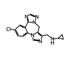 Clc1ccc2c(c1)-c1ncnn1Cc1c(CNC3CC3)ncn1-2